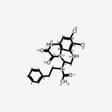 CC(=O)N(CCc1ccccc1)C1CNc2c(Cl)c(Cl)cc3[nH]c(=O)c(=O)n1c23